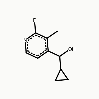 Cc1c(C(O)C2CC2)ccnc1F